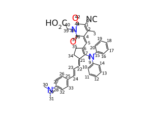 [C-]#[N+]C1=C(C)/C(=C/C2=C(N(c3ccccc3)c3ccccc3)C(=C/C=C/c3ccc(N(C)C)cc3)/CC2)C(=O)N(CC(=O)O)C1=O